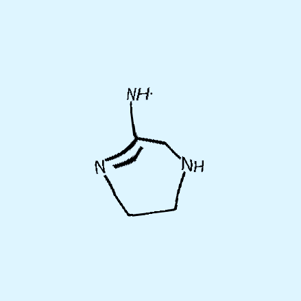 [NH]C1=NCCN1